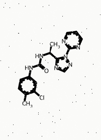 Cc1ccc(NC(=O)N[C@@H](C)c2ncnn2-c2ncccn2)cc1Cl